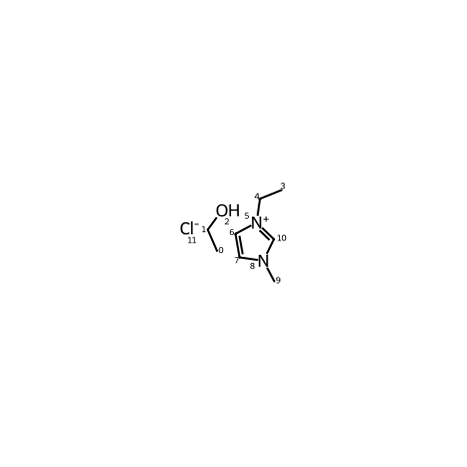 CCO.CC[n+]1ccn(C)c1.[Cl-]